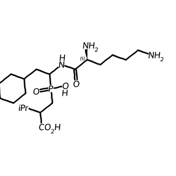 CC(C)C(CP(=O)(O)C(CC1CCCCC1)NC(=O)[C@@H](N)CCCCN)C(=O)O